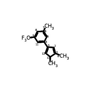 CC1=CC(c2cc(C)cc(C(F)(F)F)c2)=CC1C